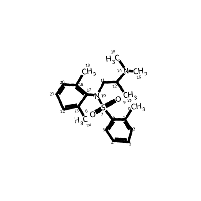 Cc1ccccc1S(=O)(=O)N(CC(C)N(C)C)c1c(C)cccc1C